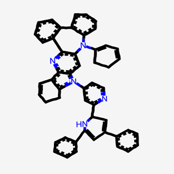 C1=CCCC(N2c3ccccc3-c3ccccc3-c3nc4c5c(n(-c6ccnc(C7C=C(c8ccccc8)C=C(c8ccccc8)N7)c6)c4cc32)CCC=C5)=C1